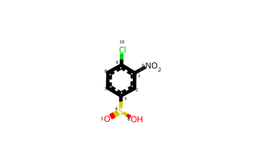 O=[N+]([O-])c1cc(S(=O)O)ccc1Cl